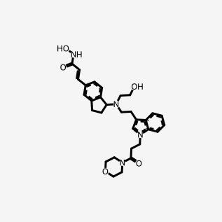 O=C(C=Cc1ccc2c(c1)CCC2N(CCO)CCc1cn(CCC(=O)N2CCOCC2)c2ccccc12)NO